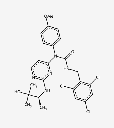 COc1ccc(N(C(=O)NCc2c(Cl)cc(Cl)cc2Cl)c2ccnc(N[C@@H](C)C(C)(C)O)n2)cc1